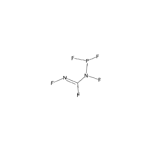 F/N=C(\F)N(F)P(F)F